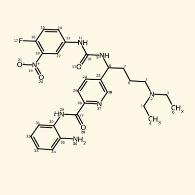 CCN(CC)CCCC(NC(=O)Nc1ccc(F)c([N+](=O)[O-])c1)c1ccc(C(=O)Nc2ccccc2N)nc1